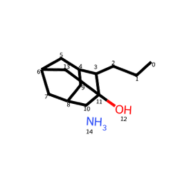 CCCC1C2CC3CC(C2)CC1(O)C3.N